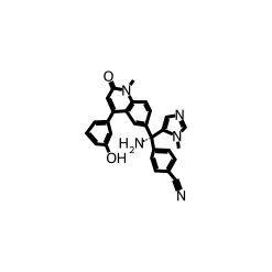 Cn1cncc1[C@@](N)(c1ccc(C#N)cc1)c1ccc2c(c1)c(-c1cccc(O)c1)cc(=O)n2C